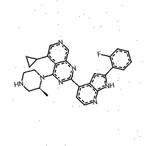 C[C@H]1CNCCN1c1nc(-c2ccnc3[nH]c(-c4ccccc4F)cc23)nc2cncc(C3CC3)c12